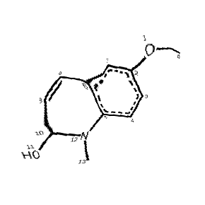 COc1ccc2c(c1)C=CC(O)N2C